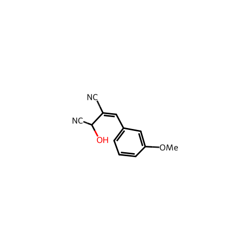 COc1cccc(/C=C(/C#N)C(O)C#N)c1